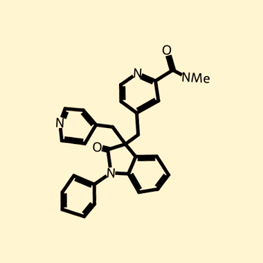 CNC(=O)c1cc(CC2(Cc3ccncc3)C(=O)N(c3ccccc3)c3ccccc32)ccn1